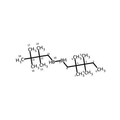 CCC(C)(C)C(C)(C)CBBCC(C)(C)C(C)(C)C